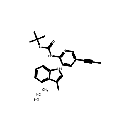 C.CC#Cc1ccc(NC(=O)OC(C)(C)C)nc1.Cc1c[nH]c2ccccc12.Cl.Cl